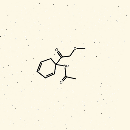 COCC(=O)C1(NC(C)=O)C=CC=CC1